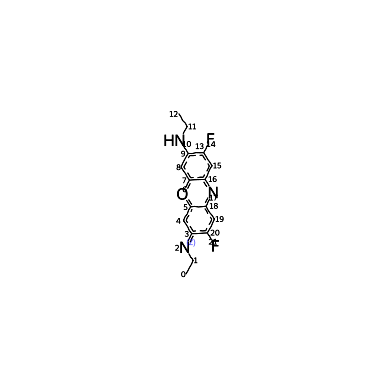 CC/N=c1/cc2oc3cc(NCC)c(F)cc3nc-2cc1F